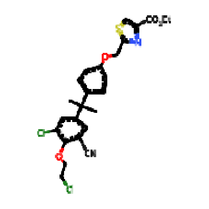 CCOC(=O)c1csc(COc2ccc(C(C)(C)c3cc(Cl)c(OCCCl)c(C#N)c3)cc2)n1